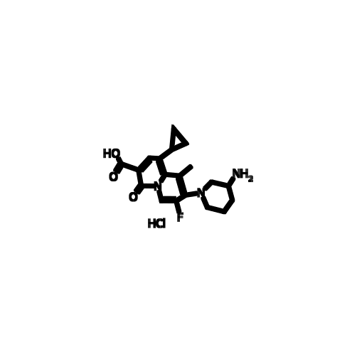 Cc1c(N2CCCC(N)C2)c(F)cn2c(=O)c(C(=O)O)cc(C3CC3)c12.Cl